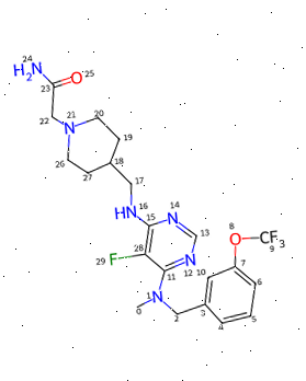 CN(Cc1cccc(OC(F)(F)F)c1)c1ncnc(NCC2CCN(CC(N)=O)CC2)c1F